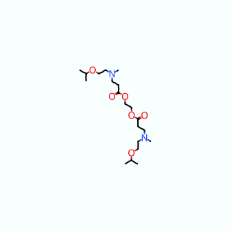 CC(C)OCCN(C)CCC(=O)OCCOC(=O)CCN(C)CCOC(C)C